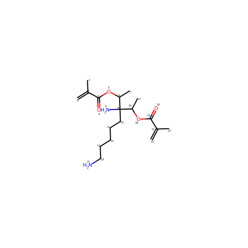 C=C(C)C(=O)OC(C)C(N)(CCCCCN)C(C)OC(=O)C(=C)C